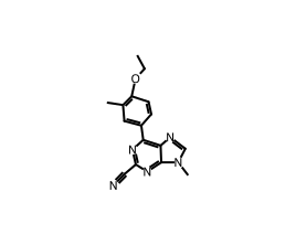 CCOc1ccc(-c2nc(C#N)nc3c2ncn3C)cc1C